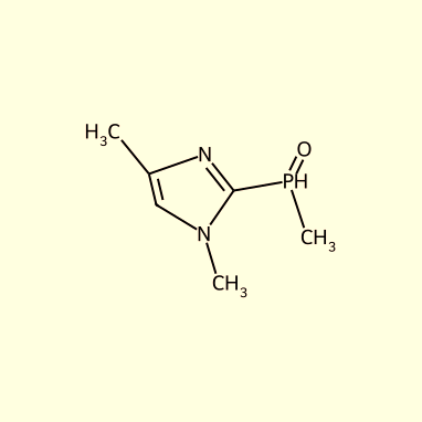 Cc1cn(C)c([PH](C)=O)n1